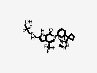 Cn1cnnc1C1(c2cccc(-n3cc(C(F)(F)F)c4cc(CNCC(F)(F)CO)[nH]c4c3=O)c2)CCC1